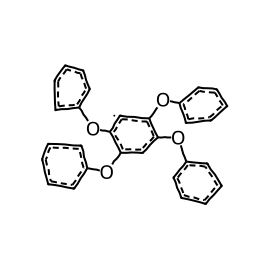 [c]1c(Oc2ccccc2)c(Oc2ccccc2)cc(Oc2ccccc2)c1Oc1ccccc1